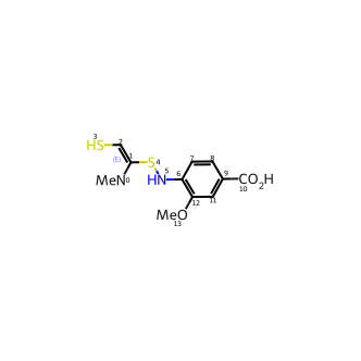 CN/C(=C\S)SNc1ccc(C(=O)O)cc1OC